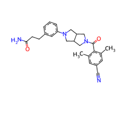 Cc1cc(C#N)cc(C)c1C(=O)N1CC2CN(c3cccc(CCC(N)=O)c3)CC2C1